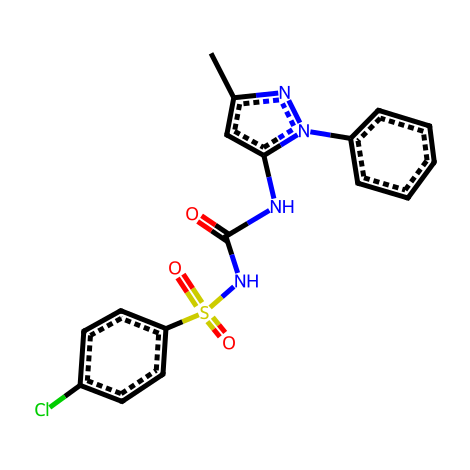 Cc1cc(NC(=O)NS(=O)(=O)c2ccc(Cl)cc2)n(-c2ccccc2)n1